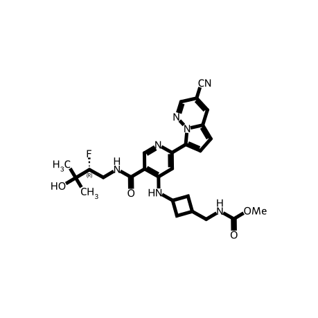 COC(=O)NCC1CC(Nc2cc(-c3ccc4cc(C#N)cnn34)ncc2C(=O)NC[C@@H](F)C(C)(C)O)C1